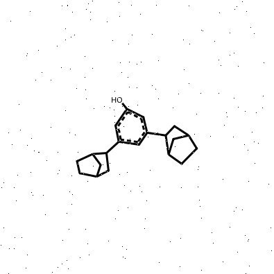 Oc1cc(C2CC3CCC2C3)cc(C2CC3CCC2C3)c1